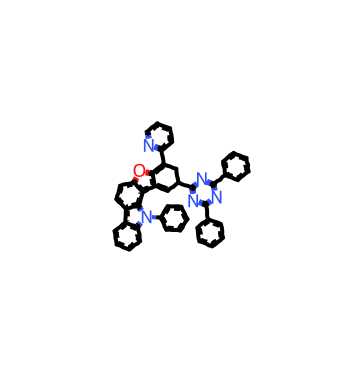 C1=c2c(oc3ccc4c5ccccc5n(-c5ccccc5)c4c23)=C(c2ccccn2)CC1c1nc(-c2ccccc2)nc(-c2ccccc2)n1